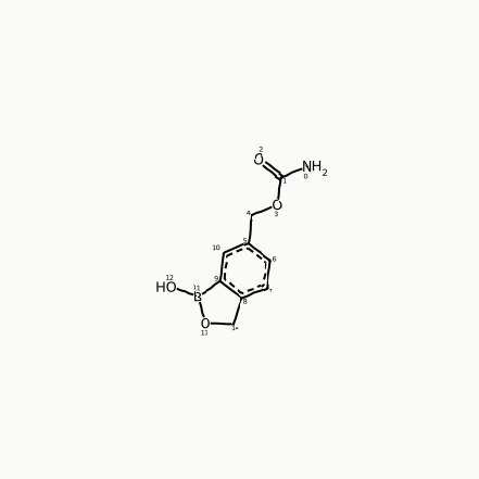 NC(=O)OCc1ccc2c(c1)B(O)OC2